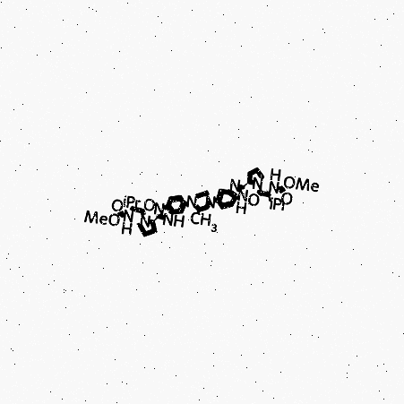 COC(=O)N[C@H](C(=O)N1CCC[C@H]1c1nc2cc(N3CCN(c4ccc5nc([C@@H]6CCCN6C(=O)[C@@H](NC(=O)OC)C(C)C)[nH]c5c4)[C@H](C)C3)ccc2[nH]1)C(C)C